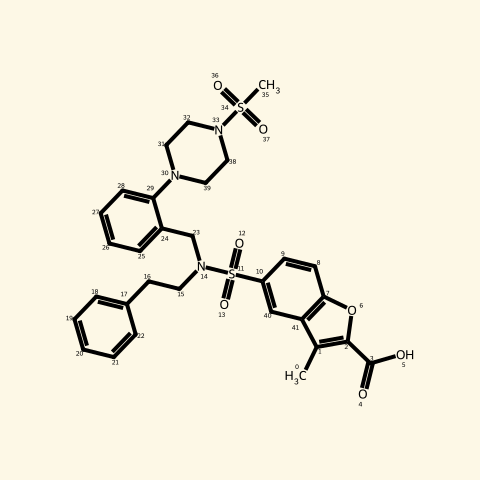 Cc1c(C(=O)O)oc2ccc(S(=O)(=O)N(CCc3ccccc3)Cc3ccccc3N3CCN(S(C)(=O)=O)CC3)cc12